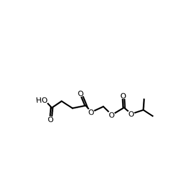 CC(C)OC(=O)OCOC(=O)CCC(=O)O